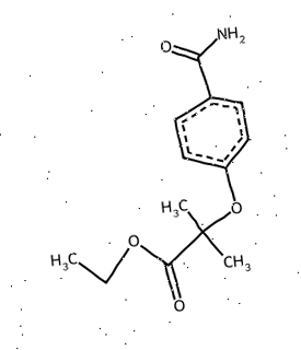 CCOC(=O)C(C)(C)Oc1ccc(C(N)=O)cc1